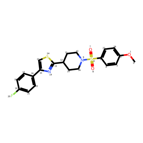 COc1ccc(S(=O)(=O)N2CCC(c3nc(-c4ccc(F)cc4)cs3)CC2)cc1